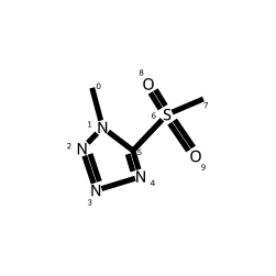 Cn1nnnc1S(C)(=O)=O